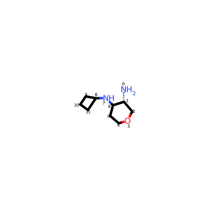 N[C@@H]1COCCC1NC1CCC1